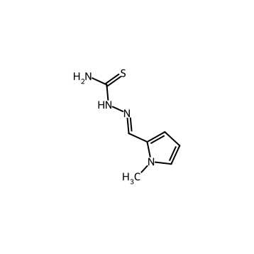 Cn1cccc1C=NNC(N)=S